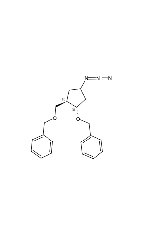 [N-]=[N+]=NC1C[C@H](COCc2ccccc2)[C@@H](OCc2ccccc2)C1